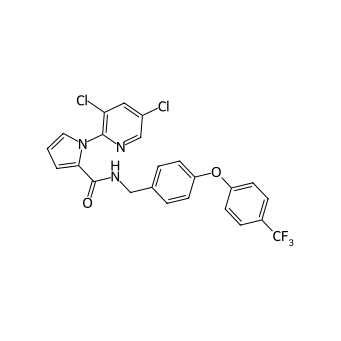 O=C(NCc1ccc(Oc2ccc(C(F)(F)F)cc2)cc1)c1cccn1-c1ncc(Cl)cc1Cl